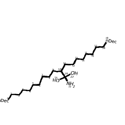 CCCCCCCCCCCCCCCCCCCC(CCCCCCCCCCCCCCCCCC)C(N)(O)O